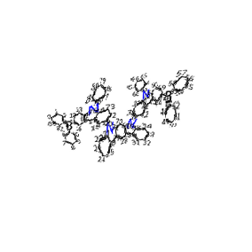 c1ccc(B(c2ccccc2)c2ccc3c(c2)c2cc(-n4c5ccccc5c5cc6c7ccccc7n(-c7ccc8c(c7)c7cc(B(c9ccccc9)c9ccccc9)ccc7n8-c7ccccc7)c6cc54)ccc2n3-c2ccccc2)cc1